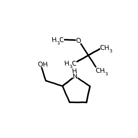 COC(C)(C)C.OCC1CCCN1